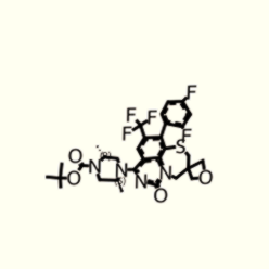 C[C@@H]1CN(c2nc(=O)n3c4c(c(-c5ccc(F)cc5F)c(C(F)(F)F)cc24)SCC2(COC2)C3)[C@@H](C)CN1C(=O)OC(C)(C)C